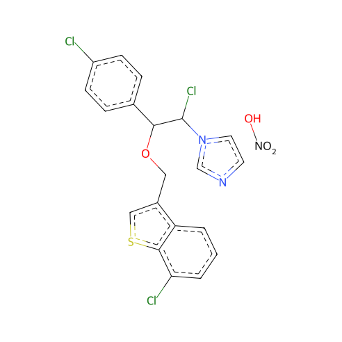 Clc1ccc(C(OCc2csc3c(Cl)cccc23)C(Cl)n2ccnc2)cc1.O=[N+]([O-])O